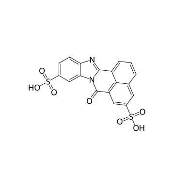 O=c1c2cc(S(=O)(=O)O)cc3cccc(c32)c2nc3ccc(S(=O)(=O)O)cc3n12